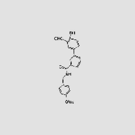 COc1ccc(CNC(=O)c2cccc(-c3ccc(O)c(C=O)c3)c2)cc1